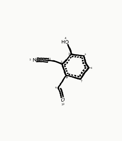 N#Cc1c(O)cccc1C=O